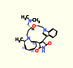 CC1/C=C\C=C/C/C2=C\N1CC[C@H](CN(C)C)OCCn1cc(c3ccccc31)C1=C2C(=O)NC1=O